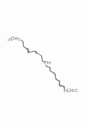 CCCCCCCCCCCCCCCCCCPCCCCCCCCCCCCCCCCCC